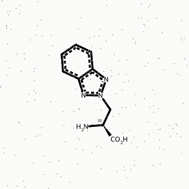 N[C@@H](Cn1nc2ccccc2n1)C(=O)O